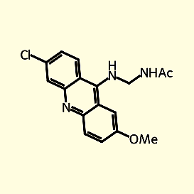 COc1ccc2nc3cc(Cl)ccc3c(NCNC(C)=O)c2c1